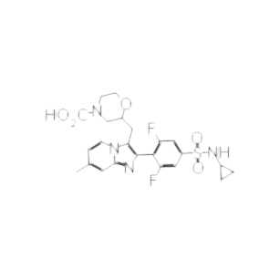 Cc1ccn2c(CC3CN(C(=O)O)CCO3)c(-c3c(F)cc(S(=O)(=O)NC4CC4)cc3F)nc2c1